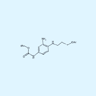 CC(=O)OCCCNc1ccc(NC(=O)OC(C)(C)C)cc1N